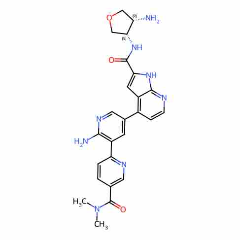 CN(C)C(=O)c1ccc(-c2cc(-c3ccnc4[nH]c(C(=O)N[C@@H]5COC[C@@H]5N)cc34)cnc2N)nc1